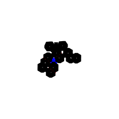 CC1(c2ccccc2)c2ccccc2-c2c(-c3ccccc3N(c3ccc(-c4cccc5c4ccc4ccccc45)cc3)c3ccccc3-c3cccc4cccc(-c5ccccc5)c34)cccc21